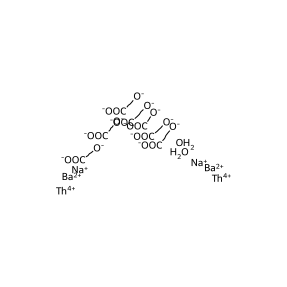 O.O.O=C([O-])[O-].O=C([O-])[O-].O=C([O-])[O-].O=C([O-])[O-].O=C([O-])[O-].O=C([O-])[O-].O=C([O-])[O-].[Ba+2].[Ba+2].[Na+].[Na+].[Th+4].[Th+4]